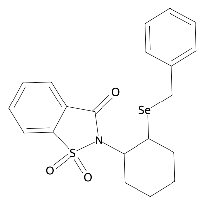 O=C1c2ccccc2S(=O)(=O)N1C1CCCCC1[Se]Cc1ccccc1